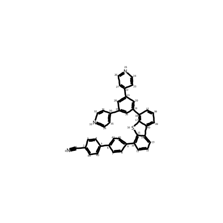 N#Cc1ccc(-c2ccc(-c3cccc4c3sc3c(-c5cc(-c6ccncc6)cc(-c6ccncc6)c5)cccc34)cc2)cc1